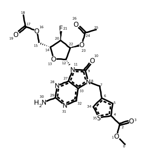 COC(=O)c1cc(Cn2c(=O)n([C@@H]3O[C@H](COC(C)=O)[C@@H](F)[C@H]3OC(C)=O)c3nc(N)ncc32)cs1